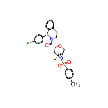 Cc1ccc(S(=O)(=O)N2[C@@H]3CO[C@@H](C(=O)N4CCc5ccccc5[C@@H]4c4ccc(F)cc4)C[C@@H]32)cc1